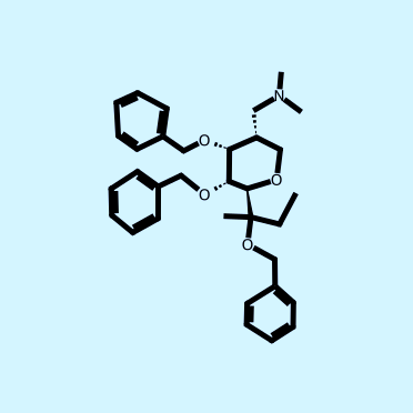 CCC(C)(OCc1ccccc1)[C@@H]1OC[C@@H](CN(C)C)[C@@H](OCc2ccccc2)[C@H]1OCc1ccccc1